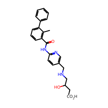 Cc1c(C(=O)Nc2ccc(CNCC(O)CC(=O)O)cn2)cccc1-c1ccccc1